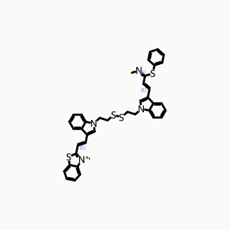 C/N=C(\C=C\c1cn(CCSSCCn2cc(/C=C/c3sc4ccccc4[n+]3C)c3ccccc32)c2ccccc12)Sc1ccccc1